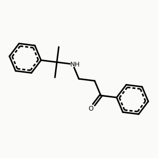 CC(C)(NCCC(=O)c1ccccc1)c1ccccc1